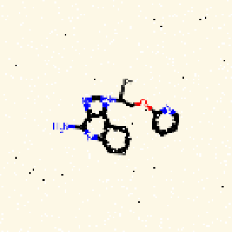 CC(C)C(COc1ccccn1)n1cnc2c(N)nc3ccccc3c21